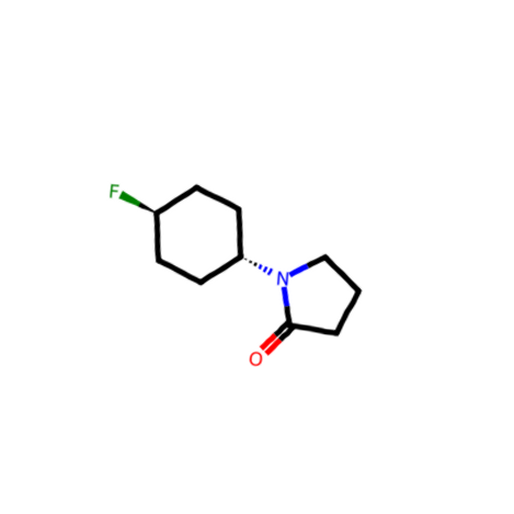 O=C1CCCN1[C@H]1CC[C@H](F)CC1